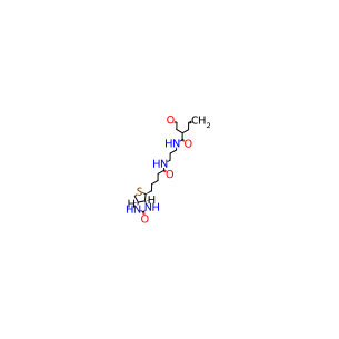 C=CCC(CC=O)C(=O)NCCCNC(=O)CCCC[C@@H]1SC[C@@H]2NC(=O)N[C@@H]21